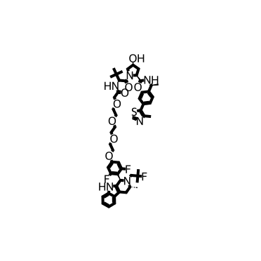 Cc1ncsc1-c1ccc([C@H](C)NC(=O)[C@@H]2C[C@@H](O)CN2C(=O)[C@@H](NC(=O)COCCOCCOCCOc2cc(F)c([C@@H]3c4[nH]c5ccccc5c4C[C@@H](C)N3CC(C)(C)F)c(F)c2)C(C)(C)C)cc1